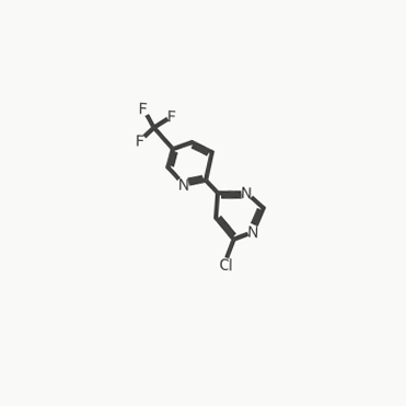 FC(F)(F)c1ccc(-c2cc(Cl)ncn2)nc1